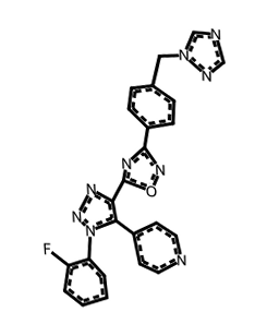 Fc1ccccc1-n1nnc(-c2nc(-c3ccc(Cn4cncn4)cc3)no2)c1-c1ccncc1